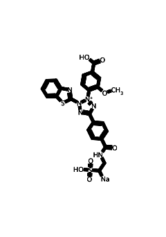 COc1cc(C(=O)O)ccc1-[n+]1nc(-c2ccc(C(=O)NC[CH]([Na])S(=O)(=O)O)cc2)nn1-c1nc2ccccc2s1